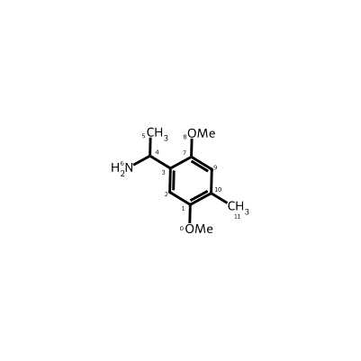 COc1cc(C(C)N)c(OC)cc1C